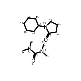 CN(C)C(=O)N(C)C.O=C1CCCN1C1CCCCC1